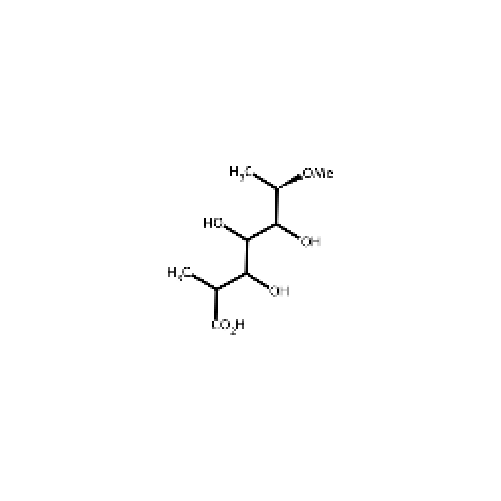 CO[C@H](C)C(O)C(O)C(O)C(C)C(=O)O